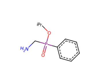 CC(C)OP(=O)(CN)c1ccccc1